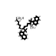 CCCC[N+]1=C(/C=C/C=C2/N(CCCCCC(=O)O)c3ccc4ccccc4c3C2(C)C)C(C)(C)c2c1ccc1ccccc21